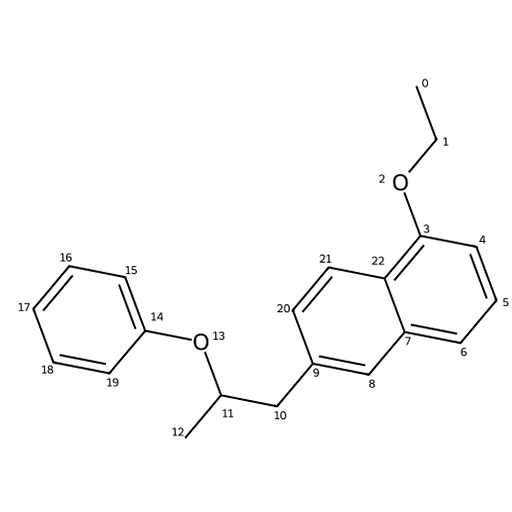 CCOc1cccc2cc(CC(C)Oc3ccccc3)ccc12